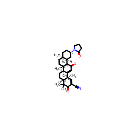 CC1(C)C(=O)C(C#N)=C[C@]2(C)C3=CC(=O)[C@@H]4[C@@H]5C[C@@H](N6CCCC6=O)CC[C@]5(C)CC[C@@]4(C)[C@]3(C)CC[C@@H]12